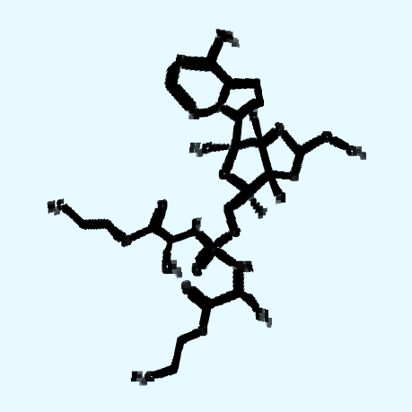 CCCOC(=O)[C@H](C)NP(=O)(N[C@@H](C)C(=O)OCCC)OC[C@@]1(F)O[C@@](C)(c2ccc3c(N)ncnn23)[C@@H]2OC(OC)O[C@@H]21